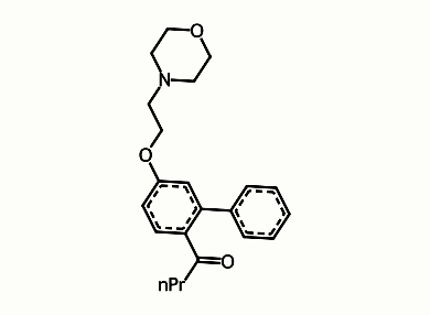 CCCC(=O)c1ccc(OCCN2CCOCC2)cc1-c1ccccc1